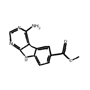 COC(=O)c1ccc2[nH]c3ncnc(N)c3c2c1